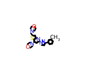 Cc1cccc(-c2ccn(-c3cc(N4CCOCC4)c4sc(CN5CCOCC5)cc4n3)n2)c1